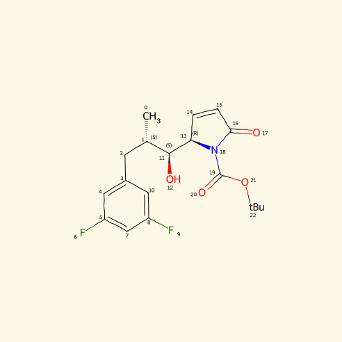 C[C@@H](Cc1cc(F)cc(F)c1)[C@H](O)[C@H]1C=CC(=O)N1C(=O)OC(C)(C)C